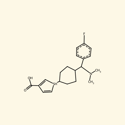 CN(C)C(c1ccc(F)cc1)C1CC[C]([SH]2C=CC(C(=O)O)=C2)CC1